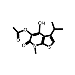 CC(=O)Oc1c(O)c2c(C(C)C)csc2n(C)c1=O